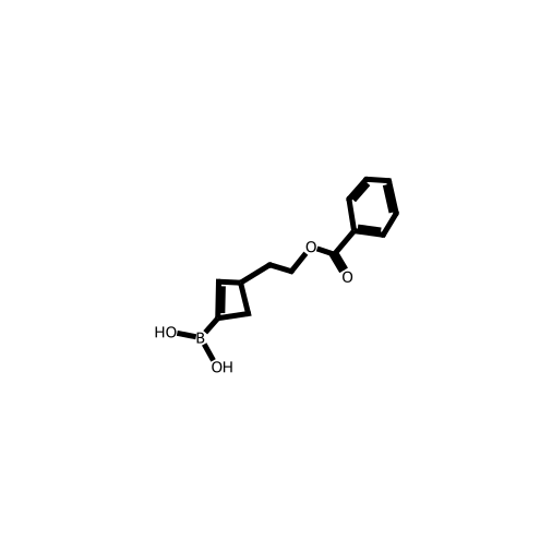 O=C(OCCC1C=C(B(O)O)C1)c1ccccc1